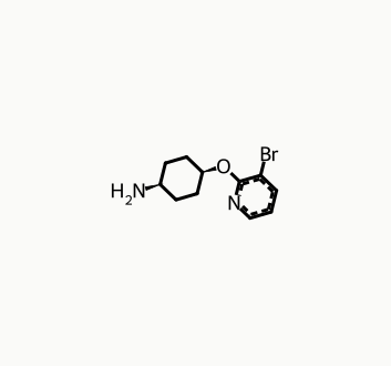 N[C@H]1CC[C@@H](Oc2ncccc2Br)CC1